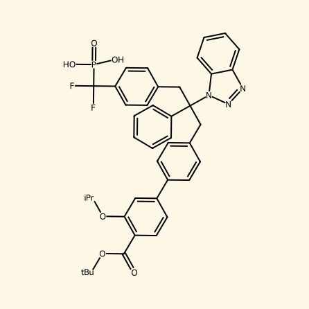 CC(C)Oc1cc(-c2ccc(CC(Cc3ccc(C(F)(F)P(=O)(O)O)cc3)(c3ccccc3)n3nnc4ccccc43)cc2)ccc1C(=O)OC(C)(C)C